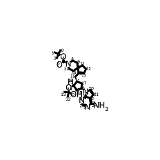 CC(C)(C)OC(=O)N1CCC2(CCC=C2C[C@H]2C[C@@H](n3ccc4c(N)ncnc43)[C@@H]3OC(C)(C)O[C@H]23)CC1